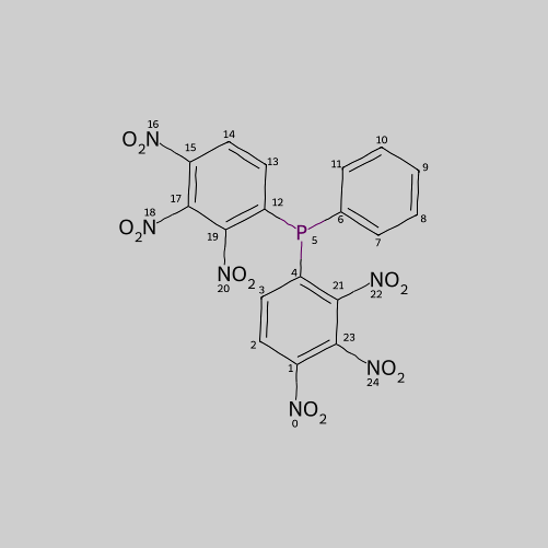 O=[N+]([O-])c1ccc(P(c2ccccc2)c2ccc([N+](=O)[O-])c([N+](=O)[O-])c2[N+](=O)[O-])c([N+](=O)[O-])c1[N+](=O)[O-]